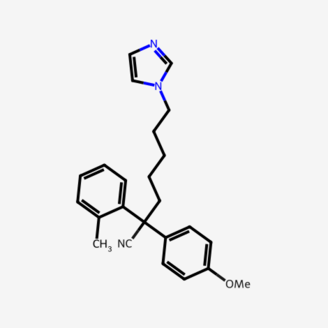 COc1ccc(C(C#N)(CCCCCn2ccnc2)c2ccccc2C)cc1